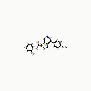 N#Cc1ccc(-c2cncc3c2CCN3C(=O)Cc2ccccc2Br)cc1